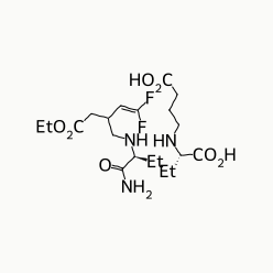 CCOC(=O)CC(C=C(F)F)CN[C@@H](CC)C(N)=O.CC[C@H](NCCCC(=O)O)C(=O)O